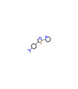 CN(C)c1ccc(-c2cnc(-c3ccccn3)s2)cc1